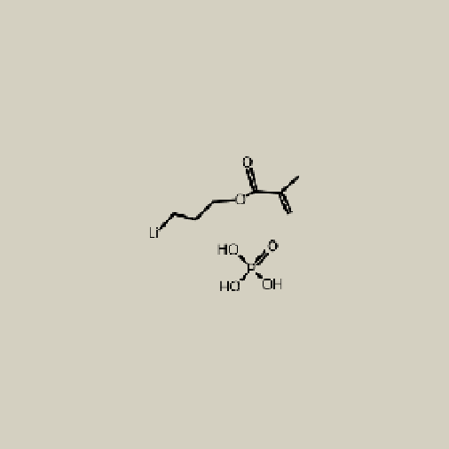 O=P(O)(O)O.[Li][CH2]CCOC(=O)C(=C)C